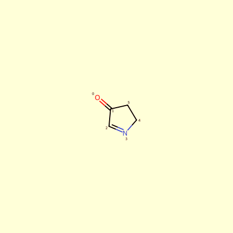 O=C1C=NCC1